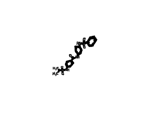 CC(C)S(=O)(=O)Nc1ccc(C(=O)Nc2ccc(NS(=O)(=O)c3ccccc3)cc2)cc1